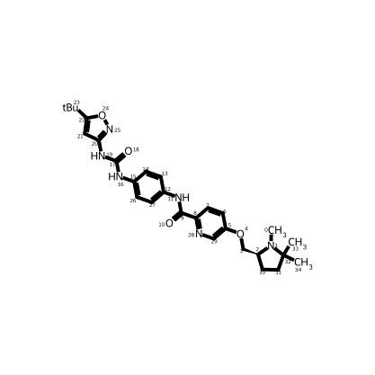 CN1[C@H](COc2ccc(C(=O)Nc3ccc(NC(=O)Nc4cc(C(C)(C)C)on4)cc3)nc2)CCC1(C)C